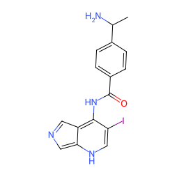 CC(N)c1ccc(C(=O)Nc2c(I)c[nH]c3cncc2-3)cc1